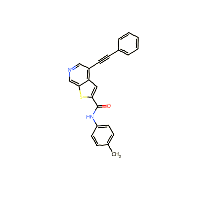 Cc1ccc(NC(=O)c2cc3c(C#Cc4ccccc4)cncc3s2)cc1